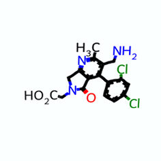 Cc1nc2c(c(-c3ccc(Cl)cc3Cl)c1CN)C(=O)N(CC(=O)O)C2